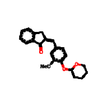 COc1cc(C=C2Cc3ccccc3C2=O)ccc1OC1CCCCO1